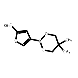 CC1(C)COB(c2csc(C=O)c2)OC1